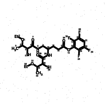 CCOC(C)C(S)C(=O)NCC(CCC(=O)Oc1c(F)c(F)cc(F)c1F)NC(=O)C(S)C(C)OCC